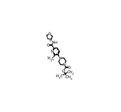 Cc1nc(C(=O)N[C@@H]2CCOC2)ccc1N1CCN(C(=O)OC(C)(C)C)CC1